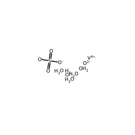 O.O.O.O.O.O=S(=O)([O-])[O-].[O-2].[V+4]